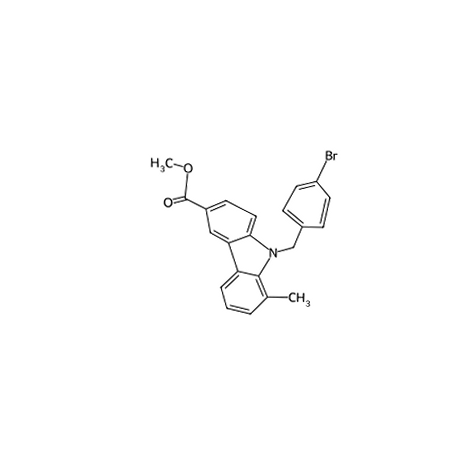 COC(=O)c1ccc2c(c1)c1cccc(C)c1n2Cc1ccc(Br)cc1